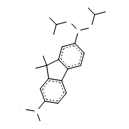 CCCCCCCCC1(CCCCCCCC)c2cc(B(O)O)ccc2-c2ccc(B(OC(O)CC)OC(O)CC)cc21